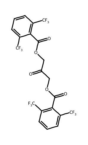 O=C(COC(=O)c1c(C(F)(F)F)cccc1C(F)(F)F)COC(=O)c1c(C(F)(F)F)cccc1C(F)(F)F